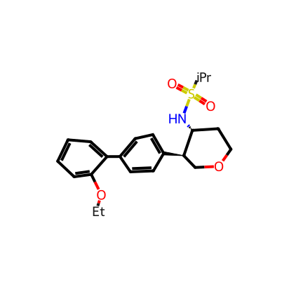 CCOc1ccccc1-c1ccc([C@@H]2COCC[C@H]2NS(=O)(=O)C(C)C)cc1